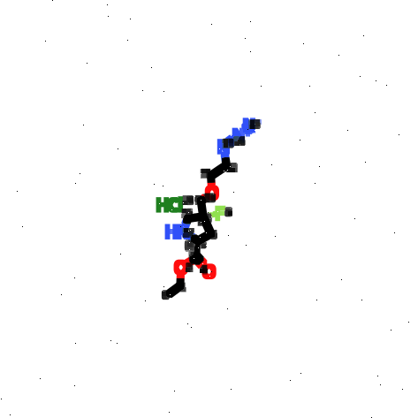 CCOC(=O)[C@@H]1C[C@](F)(COCCN=[N+]=[N-])CN1.Cl